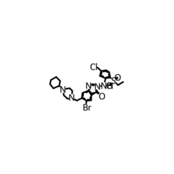 CCS(=O)(=O)c1ccc(Cl)cc1Nn1cnc2cc(CN3CCN(C4CCCCC4)CC3)c(Br)cc2c1=O